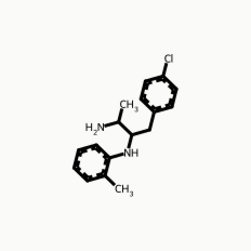 Cc1ccccc1NC(Cc1ccc(Cl)cc1)C(C)N